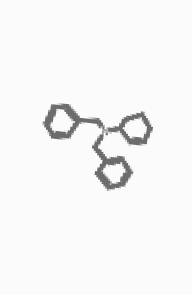 C1=CC(N(Cc2ccccc2)Cc2ccccc2)CCC1